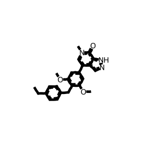 CCc1ccc(Cc2c(OC)cc(-c3cn(C)c(=O)c4[nH]ncc34)cc2OC)cc1